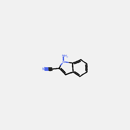 N#Cc1cc2ccccc2n1N